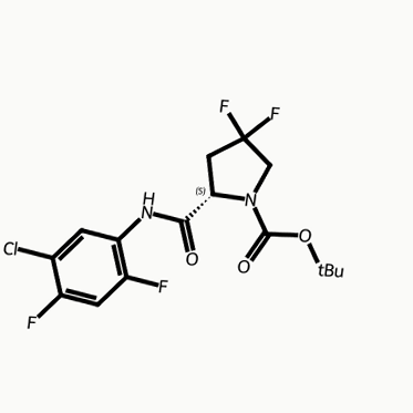 CC(C)(C)OC(=O)N1CC(F)(F)C[C@H]1C(=O)Nc1cc(Cl)c(F)cc1F